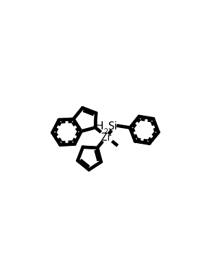 [CH3][Zr]([SiH2]c1ccccc1)([C]1=CC=CC1)[CH]1C=Cc2ccccc21